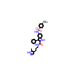 Cc1[nH]ncc1CCCNC(=O)c1[nH]c2ccc(NS(=O)(=O)c3ccc(C(C)(C)C)cc3)cc2c1-c1ccccc1